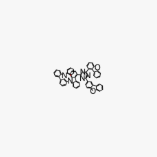 c1ccc(-n2c3ccccc3c3cccc(-n4c5ccccc5c5c(-c6nc(-c7ccc8oc9ccccc9c8c7)nc(-c7cccc8oc9ccccc9c78)n6)cccc54)c32)cc1